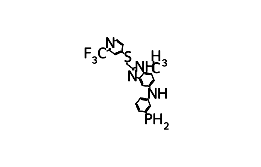 Cc1cc(Nc2cccc(P)c2)cc2nc(CSc3ccnc(C(F)(F)F)c3)[nH]c12